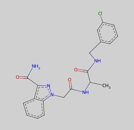 CC(NC(=O)Cn1nc(C(N)=O)c2ccccc21)C(=O)NCc1cccc(Cl)c1